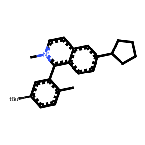 Cc1ccc(C(C)(C)C)cc1-c1c2ccc(C3CCCC3)cc2cc[n+]1C